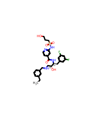 CCc1cccc(CNC[C@@H](O)[C@H](Cc2cc(F)cc(F)c2)NC(=O)c2ccnc(NS(=O)(=O)CCCO)c2)c1